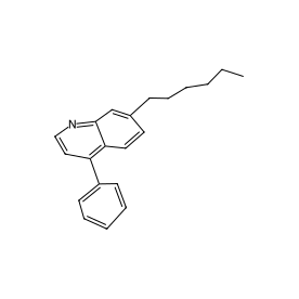 CCCCCCc1ccc2c(-c3ccccc3)ccnc2c1